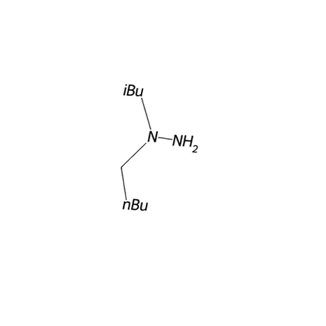 CCCCCN(N)C(C)CC